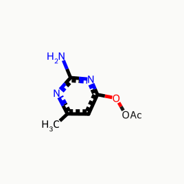 CC(=O)OOc1cc(C)nc(N)n1